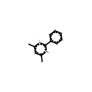 Cc1cc(C)nc(-c2[c]cccc2)n1